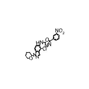 O=[N+]([O-])c1cccc(-c2nnc(Nc3ccc4c(cnn4C4CCCCO4)c3Cl)o2)c1